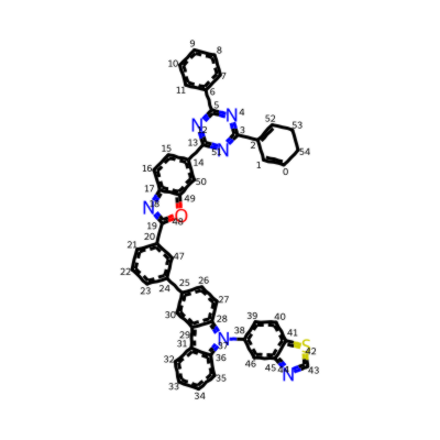 C1=CC(c2nc(-c3ccccc3)nc(-c3ccc4nc(-c5cccc(-c6ccc7c(c6)c6ccccc6n7-c6ccc7scnc7c6)c5)oc4c3)n2)=CCC1